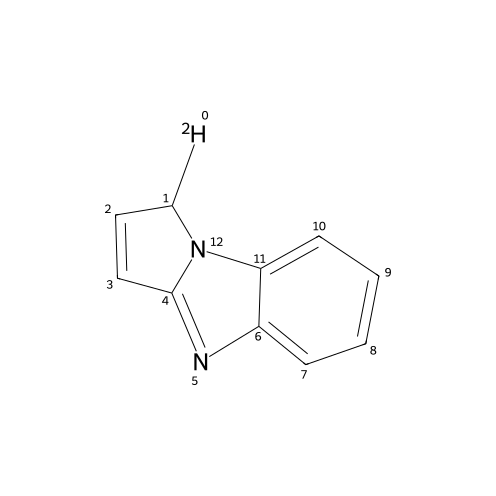 [2H]C1C=Cc2nc3ccccc3n21